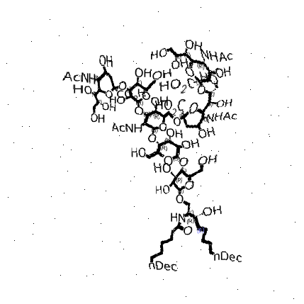 CCCCCCCCCCCCC/C=C/[C@@H](O)[C@H](CO[C@@H]1OC(CO)[C@@H](O[C@@H]2OC(CO)[C@H](O[C@@H]3OC(CO[C@]4(C(=O)O)CC(O)[C@@H](NC(C)=O)C([C@H](O)[C@@H](CO)O[C@]5(C(=O)O)CC(O)[C@@H](NC(C)=O)C([C@H](O)[C@H](O)CO)O5)O4)[C@H](O)[C@H](O[C@@H]4OC(CO)[C@H](O)[C@H](O[C@]5(C(=O)O)CC(O)[C@@H](NC(C)=O)C([C@H](O)[C@H](O)CO)O5)C4O)C3NC(C)=O)[C@H](O)C2O)[C@H](O)C1O)NC(=O)CCCCCCCCCCCCCCC